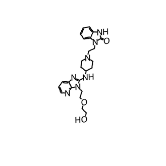 O=c1[nH]c2ccccc2n1CCN1CCC(Nc2nc3cccnc3n2CCOCCO)CC1